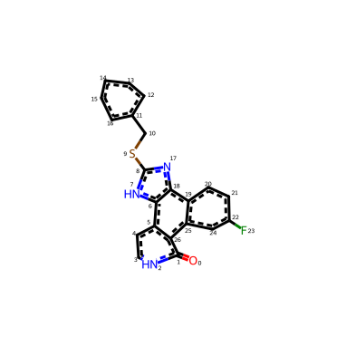 O=c1[nH]ccc2c3[nH]c(SCc4ccccc4)nc3c3ccc(F)cc3c12